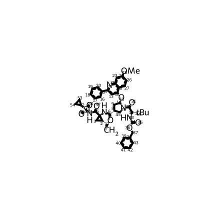 C=C[C@@H]1C[C@]1(NC(=O)[C@@H]1C[C@H](Oc2cc(-c3ccccc3)nc3cc(OC)ccc23)N(C(=O)[C@@H](NC(=O)OCc2ccccc2)C(C)(C)C)C1)C(=O)NS(=O)(=O)C1CC1